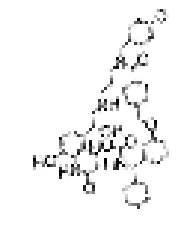 COc1ccc(CN(CCCNCC(O)c2ccc(O)c3[nH]c(=O)ccc23)C(=O)c2ccc(COc3cccc([C@@H](NC(=O)O)c4ccccc4)c3)cc2)cc1